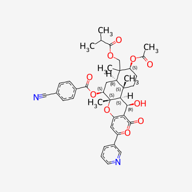 CC(=O)O[C@H]1CC[C@]2(C)[C@H]3[C@@H](O)c4c(cc(-c5cccnc5)oc4=O)O[C@]3(C)[C@@H](OC(=O)c3ccc(C#N)cc3)C[C@H]2C1(C)COC(=O)C(C)C